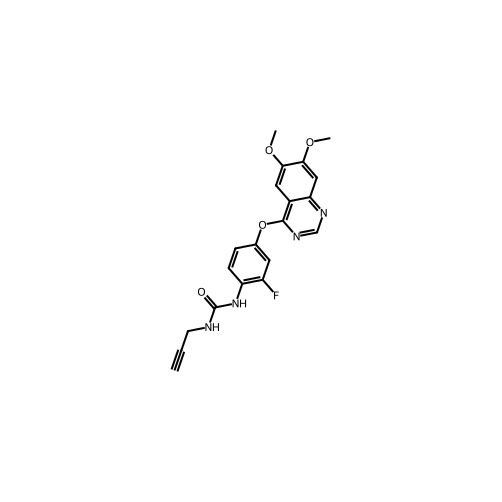 C#CCNC(=O)Nc1ccc(Oc2ncnc3cc(OC)c(OC)cc23)cc1F